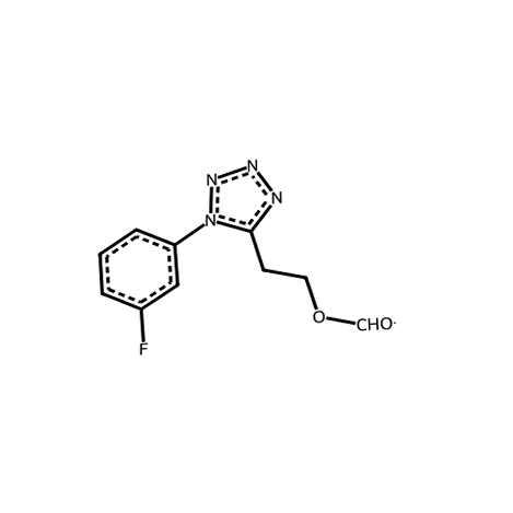 O=[C]OCCc1nnnn1-c1cccc(F)c1